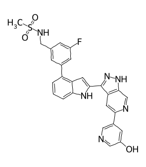 CS(=O)(=O)NCc1cc(F)cc(-c2cccc3[nH]c(-c4n[nH]c5cnc(-c6cncc(O)c6)cc45)cc23)c1